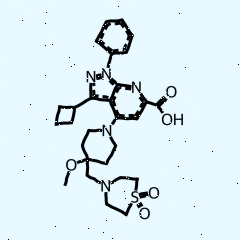 COC1(CN2CCS(=O)(=O)CC2)CCN(c2cc(C(=O)O)nc3c2c(C2CCC2)nn3-c2ccccc2)CC1